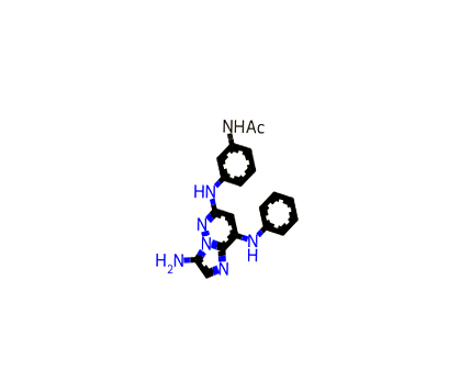 CC(=O)Nc1cccc(Nc2cc(Nc3ccccc3)c3ncc(N)n3n2)c1